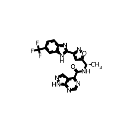 C[C@H](NC(=O)c1ncnc2[nH]ncc12)c1cc(-c2nc3ccc(C(F)(F)F)cc3[nH]2)no1